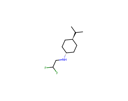 CC(C)[C@H]1CC[C@H](NCC(F)F)CC1